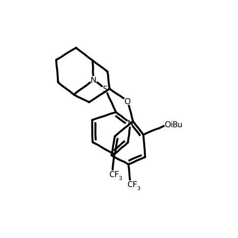 CC(C)COc1cc(C(F)(F)F)ccc1OC1CC2CCCC(C1)N2Sc1ccc(C(F)(F)F)cn1